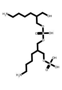 NCCCCC(CO)COP(=O)(O)OCC(CCCCN)COP(=O)(O)O